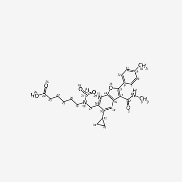 CNC(=O)c1c(-c2ccc(C)cc2)oc2nc(CN(CCCCCC(=O)O)[SH](=O)=O)c(C3CC3)cc12